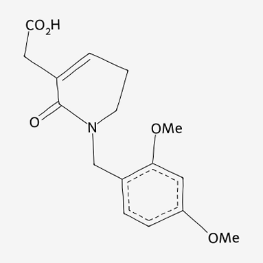 COc1ccc(CN2CCC=C(CC(=O)O)C2=O)c(OC)c1